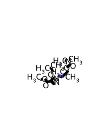 CCOC(=O)c1cnn(/C=C/C(C)(C)COC(=O)N(C)C)c1OCC(C)C